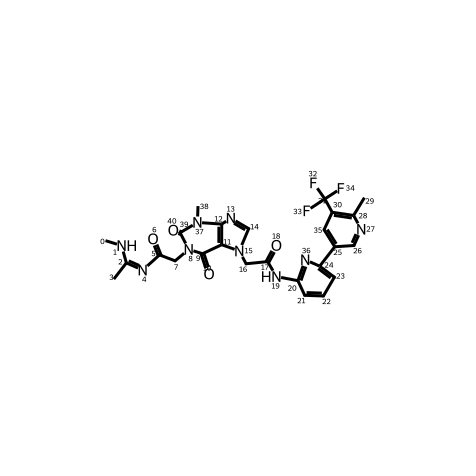 CN/C(C)=N\C(=O)Cn1c(=O)c2c(ncn2CC(=O)Nc2cccc(-c3cnc(C)c(C(F)(F)F)c3)n2)n(C)c1=O